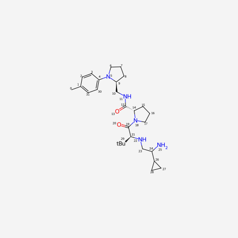 Cc1ccc(N2CCC[C@H]2CNC(=O)[C@@H]2CCCN2C(=O)[C@@H](NCC(N)C2CC2)C(C)(C)C)cc1